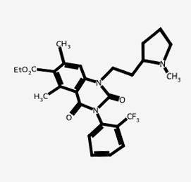 CCOC(=O)c1c(C)cc2c(c1C)c(=O)n(-c1ccccc1C(F)(F)F)c(=O)n2CCC1CCCN1C